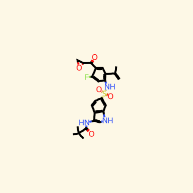 C=C(C)c1cc(C(=O)C2CO2)c(F)cc1NS(=O)(=O)c1ccc2c(NC(=O)C(C)(C)C)c[nH]c2c1